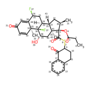 CCC(=O)O[C@]1(C(=O)SC2CCc3ccccc3C2=O)[C@H](C)C[C@H]2[C@@H]3C[C@H](F)C4=CC(=O)C=C[C@]4(C)[C@@]3(F)[C@@H](O)C[C@@]21C